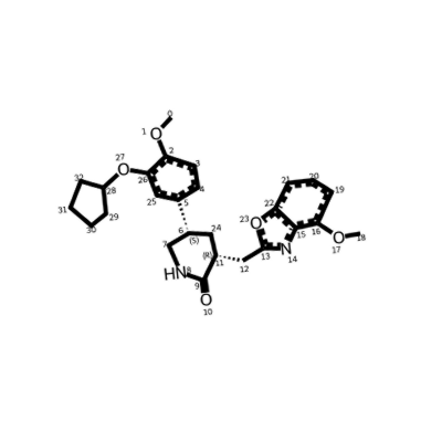 COc1ccc([C@H]2CNC(=O)[C@@H](Cc3nc4c(OC)cccc4o3)C2)cc1OC1CCCC1